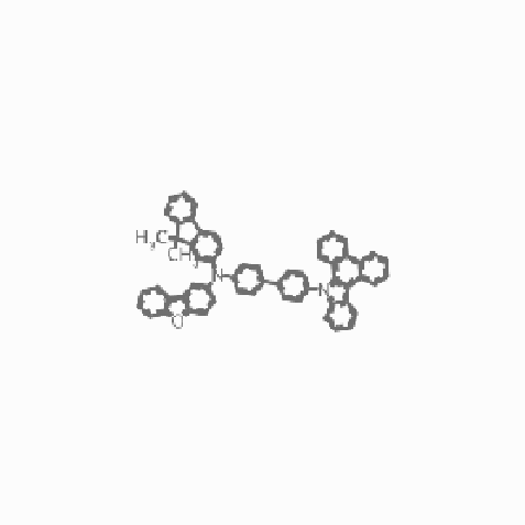 CC1(C)c2ccccc2-c2ccc(N(c3ccc(-c4ccc(-n5c6ccccc6c6c7ccccc7c7ccccc7c65)cc4)cc3)c3ccc4oc5ccccc5c4c3)cc21